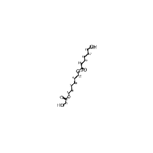 O=C(CO)OCCCCCCOC(=O)CCCCCO